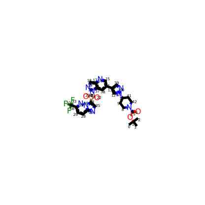 CC(C)(C)OC(=O)N1CCC(n2cc(-c3cnc4cnn(S(=O)(=O)c5cnc6ccc(C(F)(F)F)nn56)c4c3)cn2)CC1